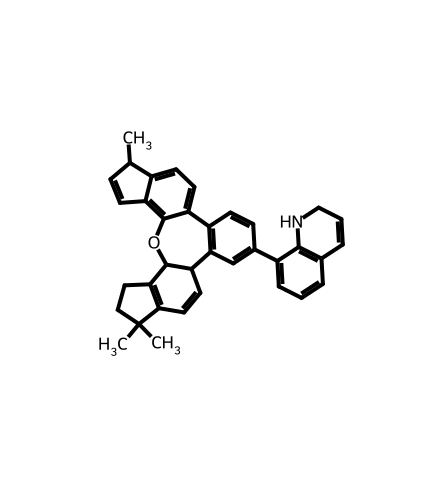 CC1C=Cc2c1ccc1c2OC2C3=C(C=CC2c2cc(-c4cccc5c4NCC=C5)ccc2-1)C(C)(C)CC3